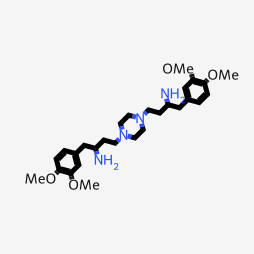 COc1ccc(CC(N)CCN2CCN(CCC(N)Cc3ccc(OC)c(OC)c3)CC2)cc1OC